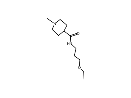 CCOCCCNC(=O)C1CCN(C)CC1